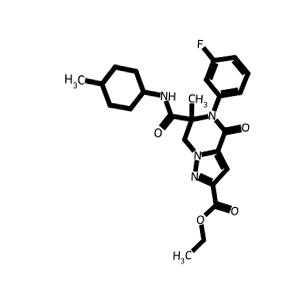 CCOC(=O)c1cc2n(n1)CC(C)(C(=O)NC1CCC(C)CC1)N(c1cccc(F)c1)C2=O